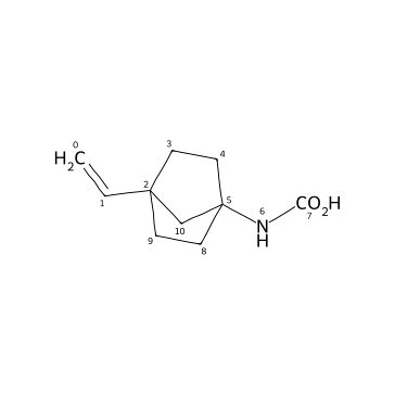 C=CC12CCC(NC(=O)O)(CC1)C2